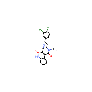 CN(CCCc1ccc(Cl)c(Cl)c1)C(=O)c1c(C#N)c(=O)[nH]c2ccccc12